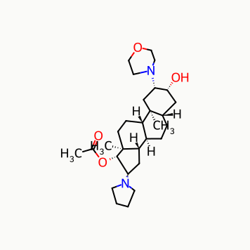 CC(=O)O[C@H]1[C@@H](N2CCCC2)C[C@H]2[C@@H]3CC[C@H]4C[C@@H](O)[C@@H](N5CCOCC5)C[C@]4(C)[C@H]3CC[C@@]21C